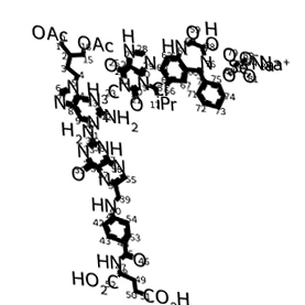 CC(=O)OCC(CCn1cnc2cnc(N)nc21)COC(C)=O.CC(C)Cn1c(=O)n(C)c(=O)c2[nH]cnc21.Nc1nc(=O)c2nc(CNc3ccc(C(=O)N[C@@H](CCC(=O)O)C(=O)O)cc3)cnc2[nH]1.O=C1Nc2ccc(Cl)cc2C(c2ccccc2)=NC1O.O=[Se](=O)([O-])[O-].[Na+].[Na+]